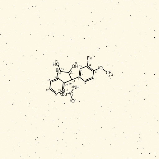 CC(C)(C)[S+]([O-])N[C@](c1ccc(OC(F)(F)F)c(F)c1)(c1ncccc1Br)C(O)CO